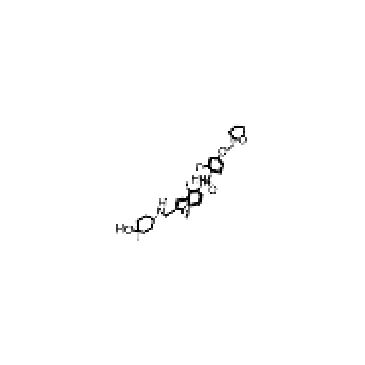 Cc1c(NC(=O)c2ccc(OC[C@@H]3CCCO3)cc2F)ccc2c1cc(CN[C@H]1CC[C@](C)(O)CC1)n2C